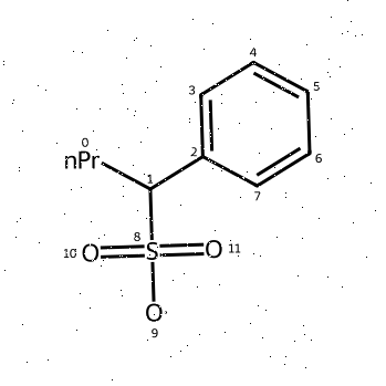 CCCC(c1ccccc1)S([O])(=O)=O